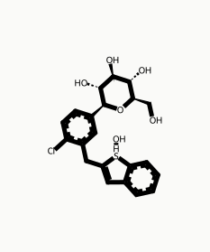 OC[C@H]1O[C@@H](c2ccc(Cl)c(CC3=Cc4ccccc4[SH]3O)c2)[C@H](O)[C@@H](O)[C@@H]1O